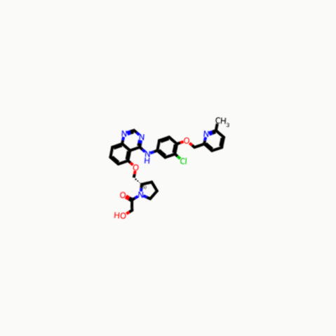 Cc1cccc(COc2ccc(Nc3ncnc4cccc(OC[C@@H]5CCCN5C(=O)CO)c34)cc2Cl)n1